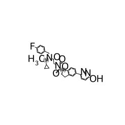 C[C@@H](C1CC1)N(Cc1ccc(F)cc1)C(=O)CN1C(=O)O[C@@]2(CCc3cc(-c4ccc(O)nn4)ccc32)C1=O